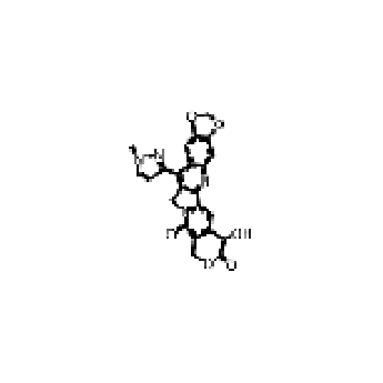 C=[N+]1C=CC(c2c3c(nc4cc5c(cc24)OCO5)-c2cc4c(c(=O)n2C3)COC(=O)C4O)=N1